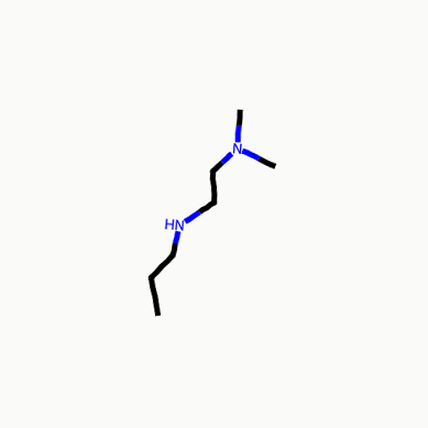 CCCNCCN(C)C